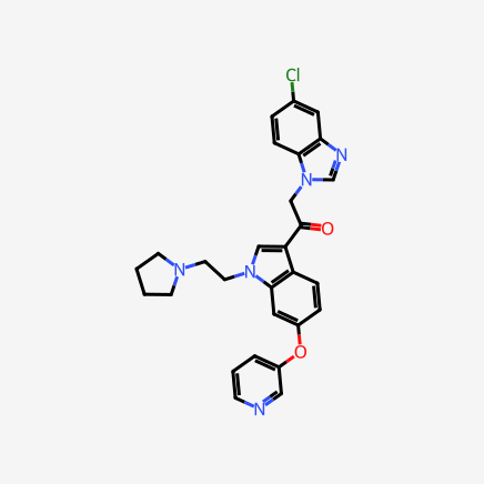 O=C(Cn1cnc2cc(Cl)ccc21)c1cn(CCN2CCCC2)c2cc(Oc3cccnc3)ccc12